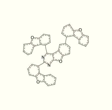 c1ccc2c(c1)oc1cccc(-c3ccc4oc5nc(-c6cccc7oc8ccccc8c67)nc(-c6cccc7oc8ccccc8c67)c5c4c3)c12